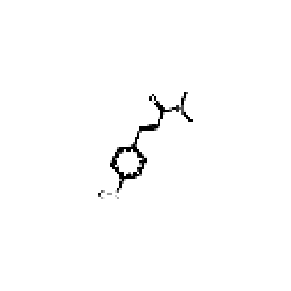 CN(C)C(=O)C=Cc1ccc(C=O)cc1